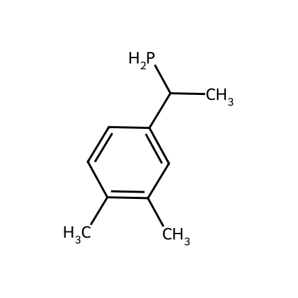 Cc1ccc(C(C)P)cc1C